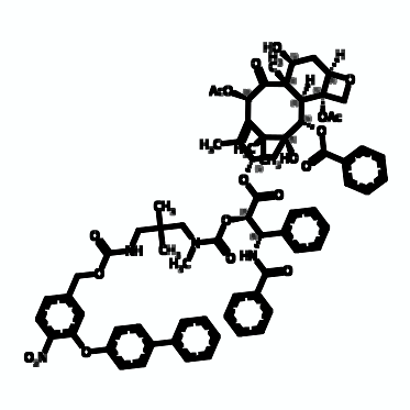 CC(=O)O[C@H]1C(=O)[C@@]2(C)[C@H]([C@H](OC(=O)c3ccccc3)[C@]3(O)C[C@H](OC(=O)[C@H](OC(=O)N(C)CC(C)(C)CNC(=O)OCc4ccc([N+](=O)[O-])c(Oc5ccc(-c6ccccc6)cc5)c4)[C@@H](NC(=O)c4ccccc4)c4ccccc4)C(C)=C1C3(C)C)[C@]1(OC(C)=O)CO[C@@H]1C[C@@H]2O